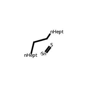 [CH2]CCCCCCCCCCCCCCC.[S]=[Sn]